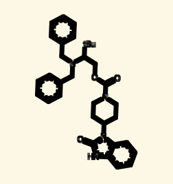 CC(C)(C)C(COC(=O)N1CCC(n2c(=O)[nH]c3ccccc32)CC1)N(Cc1ccccc1)Cc1ccccc1